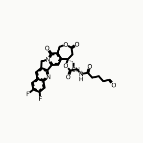 CC[C@@]1(OC(=O)CNC(=O)CCCC=O)CC(=O)OCc2c1cc1n(c2=O)Cc2cc3cc(F)c(F)cc3nc2-1